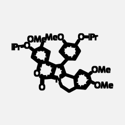 COc1cc2c(cc1OC)-c1c(-c3ccc(OC(C)C)c(OC)c3)c3c4cc(OC)c(OC(C)C)cc4oc(=O)c3n1CC2